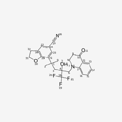 CC(C)(CC(O)(CN1CCC(=O)c2ccccc21)C(F)(F)F)c1cc(C#N)cc2c1OCC2